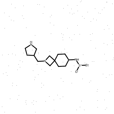 CC[S+]([O-])NC1CCC2(CC1)CN(CC1CCNC1)C2